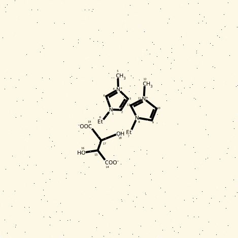 CCn1cc[n+](C)c1.CCn1cc[n+](C)c1.O=C([O-])C(O)C(O)C(=O)[O-]